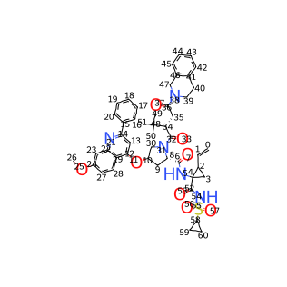 C=CC1CC1(NC(=O)[C@@H]1C[C@@H](Oc2cc(-c3ccccc3)nc3cc(OC)ccc23)CN1C(=O)[C@@H](CC(=O)N1CCc2ccccc2C1)C(C)(C)C)C(=O)NS(=O)(=O)C1CC1